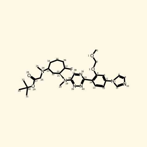 COCOc1cc(-n2ccnc2)ccc1-c1ncc(N(C)[C@H]2CC(N(C)CC(=O)OC(C)(C)C)CCCC2F)nn1